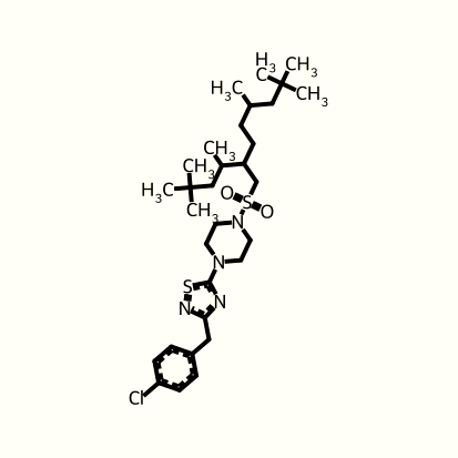 CC(CCC(CS(=O)(=O)N1CCN(c2nc(Cc3ccc(Cl)cc3)ns2)CC1)C(C)CC(C)(C)C)CC(C)(C)C